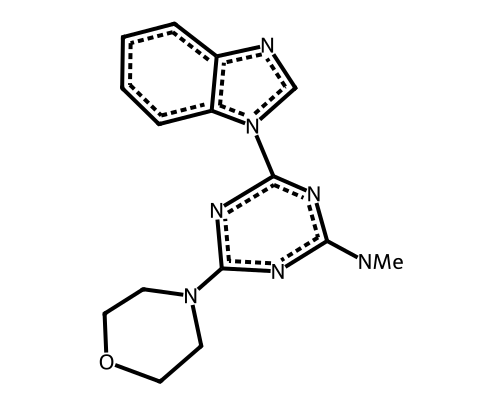 CNc1nc(N2CCOCC2)nc(-n2cnc3ccccc32)n1